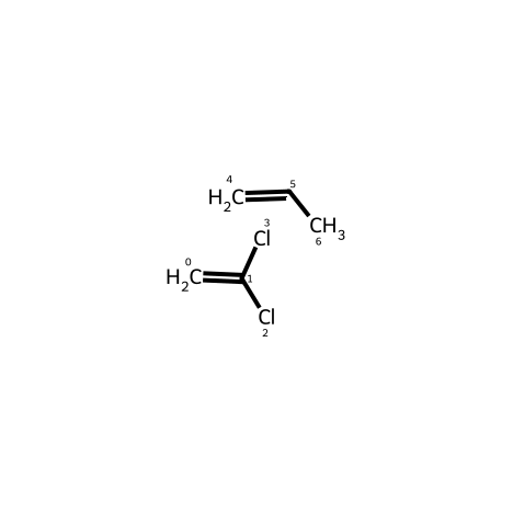 C=C(Cl)Cl.C=CC